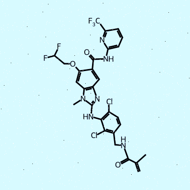 C=C(C)C(=O)NCc1ccc(Cl)c(Nc2nc3cc(C(=O)Nc4cccc(C(F)(F)F)n4)c(OCC(F)F)cc3n2C)c1Cl